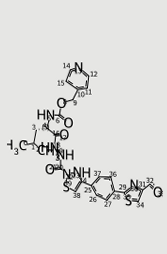 CC(C)C[C@H](NC(=O)OCc1ccncc1)C(=O)NNC(=O)N1NC(c2ccc(-c3nc([C]=O)cs3)cc2)=CS1